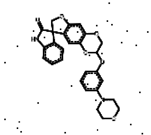 O=C1Nc2ccccc2C12COc1cc3c(cc12)OC(Oc1cccc(N2CCOCC2)c1)CO3